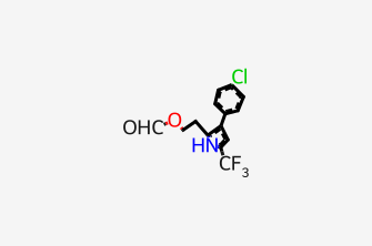 O=COCCc1[nH]c(C(F)(F)F)cc1-c1ccc(Cl)cc1